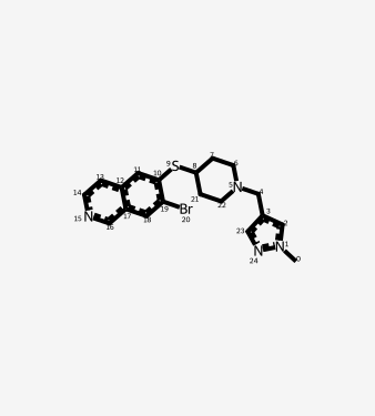 Cn1cc(CN2CCC(Sc3cc4ccncc4cc3Br)CC2)cn1